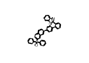 O=P(c1ccccc1)(c1ccccc1)c1ccc2ccc(-c3ccc4c5ccccc5c5nc6ccccc6n5c4c3)cc2c1